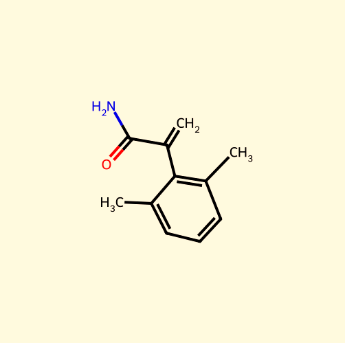 C=C(C(N)=O)c1c(C)cccc1C